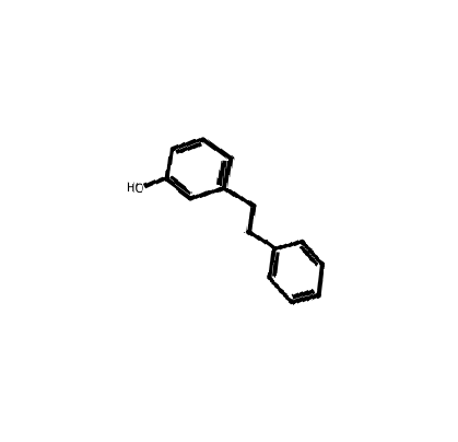 Oc1cccc(C[CH]c2ccccc2)c1